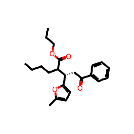 CCCCC(C(=O)OCCC)[C@H](CC(=O)c1ccccc1)c1ccc(C)o1